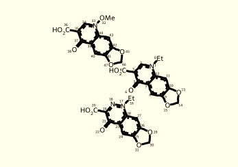 CCn1cc(C(=O)O)c(=O)c2cc3c(cc21)OCO3.CCn1nc(C(=O)O)c(=O)c2cc3c(cc21)OCO3.COn1cc(C(=O)O)c(=O)c2cc3c(cc21)OCO3